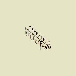 O=S1(=O)OC(F)(F)C1(F)C(F)(F)C(F)(Cl)C(F)(F)C(F)(Cl)C(F)(F)C(F)(Cl)C(F)(F)Cl